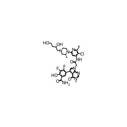 C[C@H]1CN(CC(O)CCO)CCN1c1cc(NC(=O)Cn2cc(-c3cc(C(N)=O)c(O)c(F)c3F)c3c(=O)n(C)cnc32)c(Cl)c(F)n1